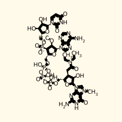 CCN(CC)C(=O)C[C@@H]1[C@@H](COP(=O)(O)OP(=O)(O)OP(=O)(O)OC[C@H]2O[C@@H](n3cnc4c(N)ncnc43)[C@H](OC)[C@@H]2P(=O)([O-])OC[C@H]2O[C@@H](n3ccc(=O)[nH]c3=O)[C@H](O)[C@@H]2O)OC(n2c[n+](C)c3c(=O)[nH]c(N)nc32)[C@@H]1O